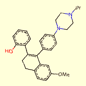 COc1ccc2c(c1)C(c1ccc(N3CCN(C(C)C)CC3)cc1)=C(c1ccccc1O)CC2